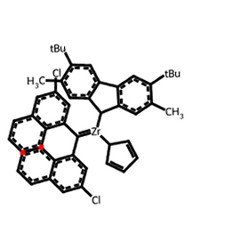 Cc1cc2c(cc1C(C)(C)C)-c1cc(C(C)(C)C)c(C)cc1[CH]2[Zr](=[C](c1cc(Cl)cc2ccccc12)c1cc(Cl)cc2ccccc12)[CH]1C=CC=C1